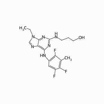 CCn1cnc2c(Nc3cc(F)c(F)c(C)c3F)nc(NCCCO)nc21